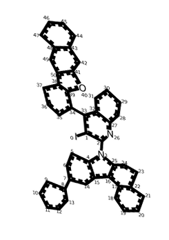 Ic1c(-n2c3ccc(-c4ccccc4)cc3c3c4ccccc4ccc32)nc2ccccc2c1-c1cccc2c1oc1cc3ccccc3cc12